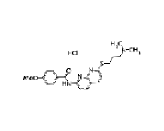 COc1ccc(C(=O)Nc2ccc3ccc(SCCCN(C)C)nc3n2)cc1.Cl